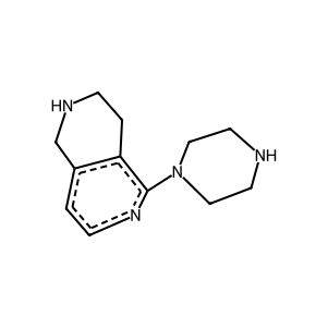 c1cc2c(c(N3CCNCC3)n1)CCNC2